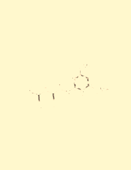 COc1cc(OC)nc(NOC(=S)OC(N)=O)n1